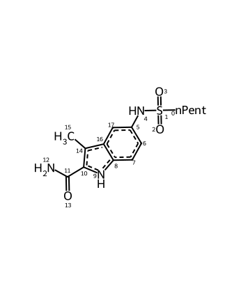 CCCCCS(=O)(=O)Nc1ccc2[nH]c(C(N)=O)c(C)c2c1